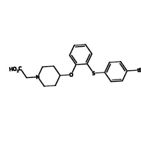 CC(C)(C)c1ccc(Sc2ccccc2OC2CCN(CC(=O)O)CC2)cc1